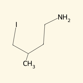 CC(CI)CCN